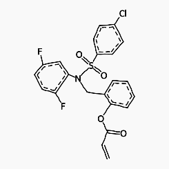 C=CC(=O)Oc1ccccc1CN(c1cc(F)ccc1F)S(=O)(=O)c1ccc(Cl)cc1